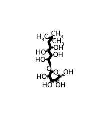 CC(C)(C)C[C@H](O)[C@@H](O)[C@H](O)[C@H](O)CO[C@@H]1O[C@H](CO)[C@@H](O)[C@H](O)[C@H]1O